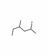 CCC(C)CC(C)F